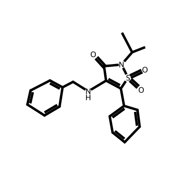 CC(C)N1C(=O)C(NCc2ccccc2)=C(c2ccccc2)S1(=O)=O